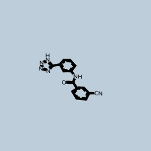 N#Cc1cccc(C(=O)Nc2cccc(-c3nnn[nH]3)c2)c1